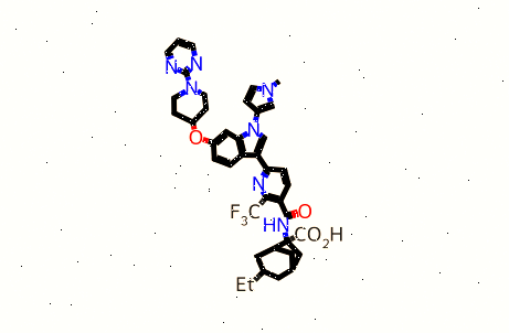 CCC1CC2CC(C1)C(NC(=O)c1ccc(-c3cn(-c4ccn(C)c4)c4cc(OC5CCN(c6ncccn6)CC5)ccc34)nc1C(F)(F)F)(C(=O)O)C2